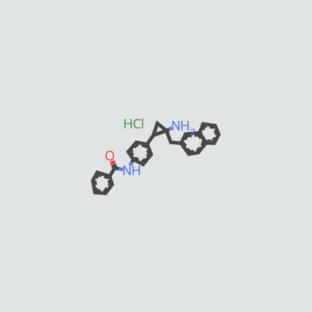 Cl.NC1(Cc2ccc3ccccc3c2)CC1c1ccc(NC(=O)c2ccccc2)cc1